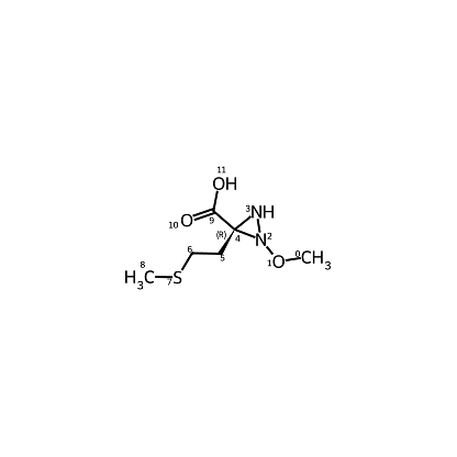 CON1N[C@@]1(CCSC)C(=O)O